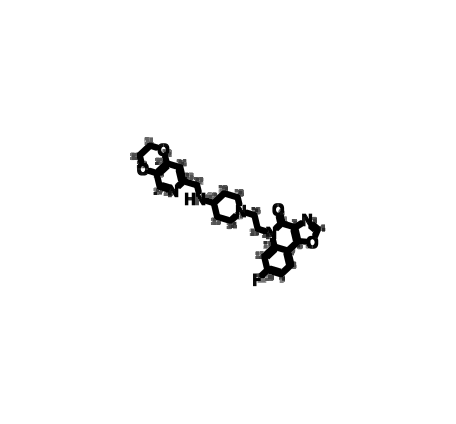 O=c1c2ncoc2c2ccc(F)cc2n1CCN1CCC(NCc2cc3c(cn2)OCCO3)CC1